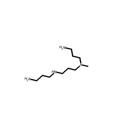 CN(CCCN)CCCNCCCN